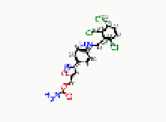 NC(=O)OCc1cc(-c2ccc(NCc3c(Cl)ccc(Cl)c3Cl)cc2)no1